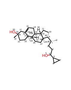 C[C@H](CCC(O)C1CC1)[C@H]1CC[C@H]2[C@@H]3CC=C4C[C@@](C)(O)CC[C@]4(C)[C@H]3CC[C@]12C